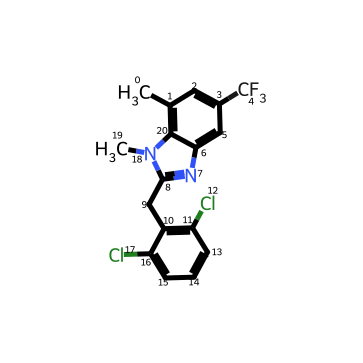 Cc1cc(C(F)(F)F)cc2nc(Cc3c(Cl)[c]ccc3Cl)n(C)c12